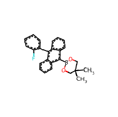 CC1(C)COB(c2c3ccccc3c(-c3ccccc3F)c3ccccc23)OC1